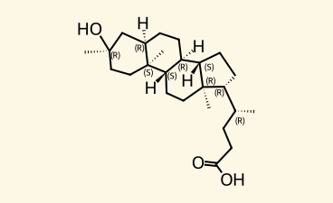 C[C@H](CCC(=O)O)[C@H]1CC[C@H]2[C@@H]3CC[C@@H]4C[C@](C)(O)CC[C@]4(C)[C@H]3CC[C@]12C